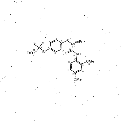 CCCN(Cc1ccc(OC(C)(C)C(=O)OCC)cc1)C(=O)Nc1ccc(OC)cc1OC